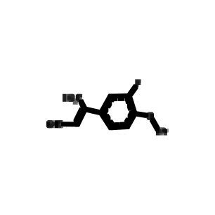 CCCOc1ccc(C(=CC=O)C(=O)O)cc1F